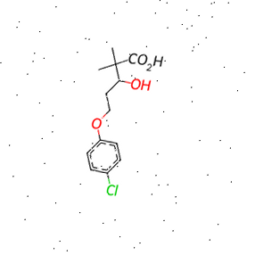 CC(C)(C(=O)O)C(O)CCOc1ccc(Cl)cc1